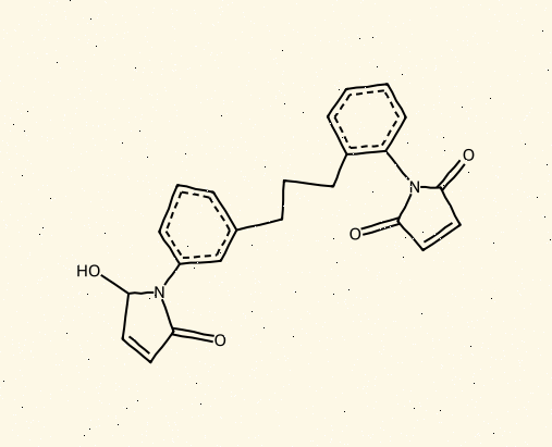 O=C1C=CC(=O)N1c1ccccc1CCCc1cccc(N2C(=O)C=CC2O)c1